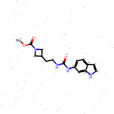 CC(C)(C)OC(=O)N1CC(CCNC(=O)Nc2ccc3cc[nH]c3c2)C1